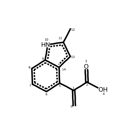 C=C(C(=O)O)c1cccc2[nH]c(C)cc12